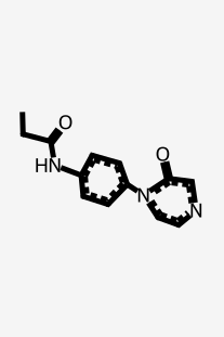 CCC(=O)Nc1ccc(-n2ccncc2=O)cc1